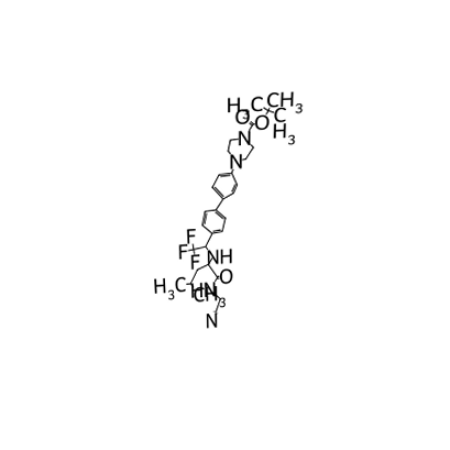 CC(C)CC(NC(c1ccc(-c2ccc(N3CCN(C(=O)OC(C)(C)C)CC3)cc2)cc1)C(F)(F)F)C(=O)NCC#N